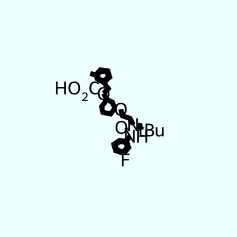 Cc1cccc(COC2CCCC(OCCN(CC(C)(C)C)C(=O)Nc3cccc(F)c3)C2)c1C(=O)O